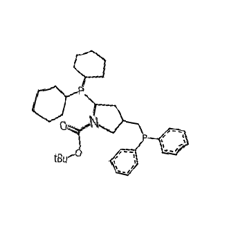 CC(C)(C)OC(=O)N1CC(CP(c2ccccc2)c2ccccc2)CC1P(C1CCCCC1)C1CCCCC1